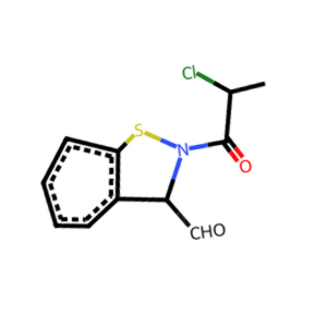 CC(Cl)C(=O)N1Sc2ccccc2C1C=O